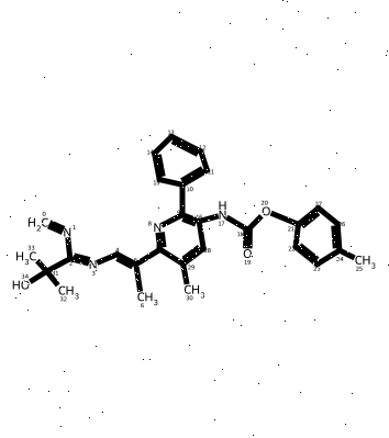 C=N/C(=N\C=C(/C)c1nc(-c2ccccc2)c(NC(=O)Oc2ccc(C)cc2)cc1C)C(C)(C)O